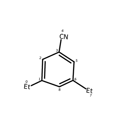 CCc1cc(C#N)cc(CC)c1